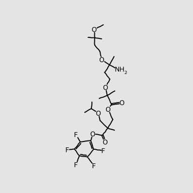 COC(C)(C)CCOC(C)(N)CCOC(C)(C)C(=O)OCC(C)(COC(C)C)C(=O)Oc1c(F)c(F)c(F)c(F)c1F